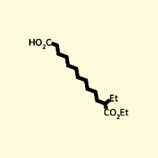 CCOC(=O)C(CC)CCCCCCCCCCC(=O)O